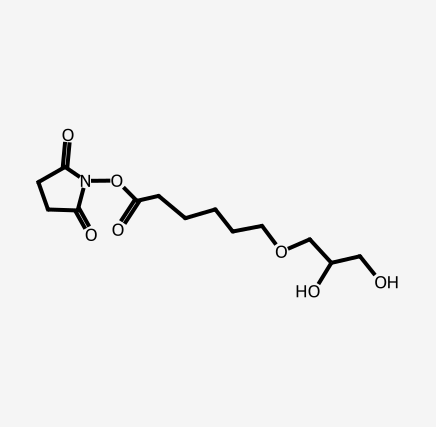 O=C(CCCCCOCC(O)CO)ON1C(=O)CCC1=O